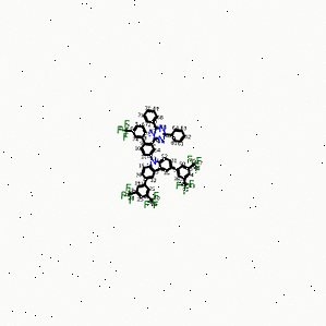 FC(F)(F)c1cccc(-c2ccc(-n3c4ccc(-c5cc(C(F)(F)F)cc(C(F)(F)F)c5)cc4c4cc(-c5cc(C(F)(F)F)cc(C(F)(F)F)c5)ccc43)cc2-c2nc(-c3ccccc3)nc(-c3ccccc3)n2)c1